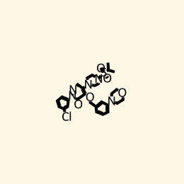 CC(C)S(=O)(=O)N1CCN(c2cnn(-c3cccc(Cl)c3)c(=O)c2OCc2cccc(N3CCOCC3)c2)CC1